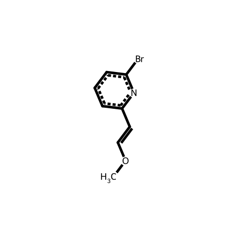 CO/C=C/c1cccc(Br)n1